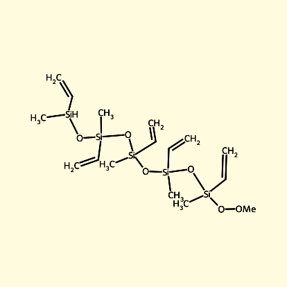 C=C[SiH](C)O[Si](C)(C=C)O[Si](C)(C=C)O[Si](C)(C=C)O[Si](C)(C=C)OOC